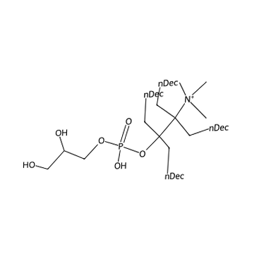 CCCCCCCCCCCC(CCCCCCCCCCC)(OP(=O)(O)OCC(O)CO)C(CCCCCCCCCCC)(CCCCCCCCCCC)[N+](C)(C)C